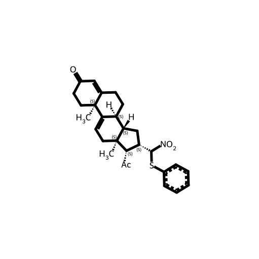 CC(=O)[C@H]1[C@@H](C(Sc2ccccc2)[N+](=O)[O-])C[C@H]2[C@@H]3CCC4=CC(=O)CC[C@]4(C)C3=CC[C@@]21C